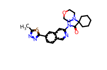 Cc1nnc(-c2ccc3cnc(NC(=O)C4(N5CCOCC5)CCCCC4)cc3c2)s1